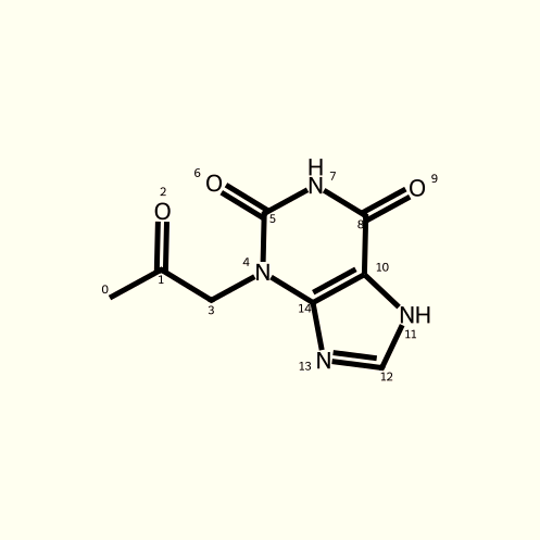 CC(=O)Cn1c(=O)[nH]c(=O)c2[nH]cnc21